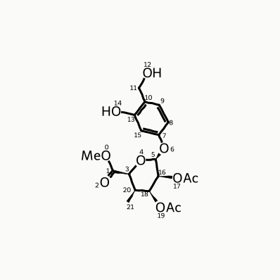 COC(=O)[C@H]1O[C@@H](Oc2ccc(CO)c(O)c2)[C@@H](OC(C)=O)[C@@H](OC(C)=O)[C@H]1C